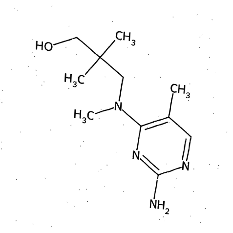 Cc1cnc(N)nc1N(C)CC(C)(C)CO